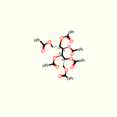 CCCC(=O)OC[C@H](OC(=O)CCC)[C@@H](OC(=O)CCC)[C@H](OC(=O)CCC)[C@@H](COC(=O)CCC)OC(=O)CCC